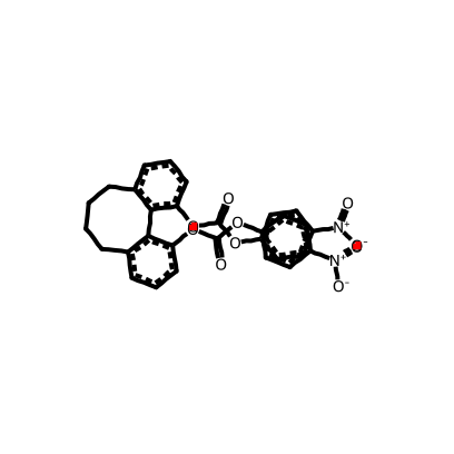 O=C(Oc1ccc([N+](=O)[O-])cc1)Oc1cccc2c1-c1c(cccc1OC(=O)Oc1ccc([N+](=O)[O-])cc1)CCCC2